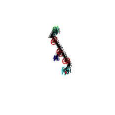 CC(CCC=C(C(F)(F)F)C(F)(F)F)CCOC(=O)CCCCCCCC(CCCCCCCC(=O)OCCC(C)CC/C=C(/Cl)C(F)(F)F)OC(=O)CCCN(C)C